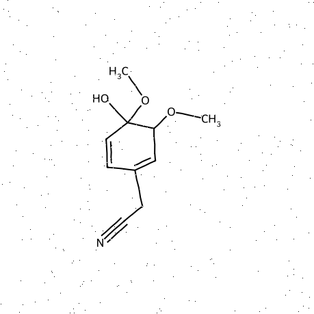 COC1C=C(CC#N)C=CC1(O)OC